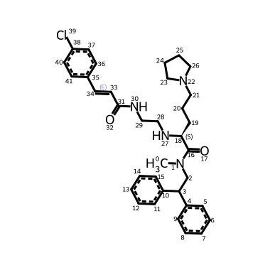 CN(CC(c1ccccc1)c1ccccc1)C(=O)[C@H](CCCN1CCCC1)NCCNC(=O)/C=C/c1ccc(Cl)cc1